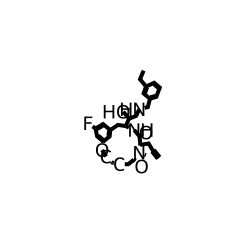 C#CCC1C(=O)NC(C(O)CNCc2cccc(CC)c2)Cc2cc(F)cc(c2)OCCCCC(=O)N1C